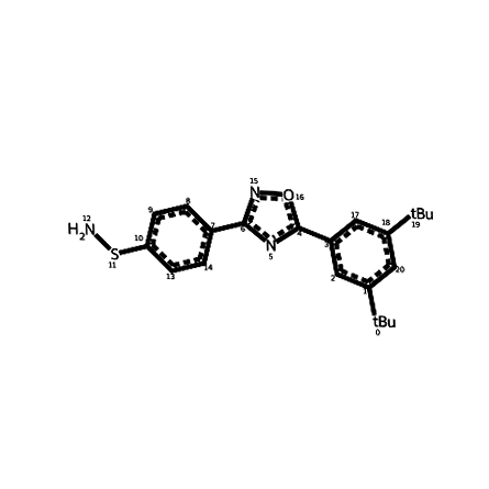 CC(C)(C)c1cc(-c2nc(-c3ccc(SN)cc3)no2)cc(C(C)(C)C)c1